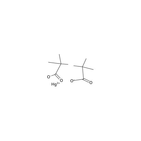 CC(C)(C)C(=O)[O-].CC(C)(C)C(=O)[O-].[Hg+2]